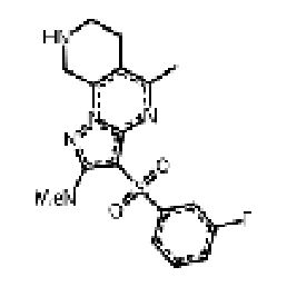 CNc1nn2c3c(c(C)nc2c1S(=O)(=O)c1cccc(F)c1)CCNC3